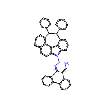 N/C=C1\C(=N/Cn2c3cccc4c3c3c5c(cccc5ccc32)C(c2ccccc2)C4c2ccccc2)c2ccccc2-c2ccccc21